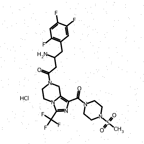 CS(=O)(=O)N1CCN(C(=O)c2nc(C(F)(F)F)n3c2CN(C(=O)CC(N)Cc2cc(F)c(F)cc2F)CC3)CC1.Cl